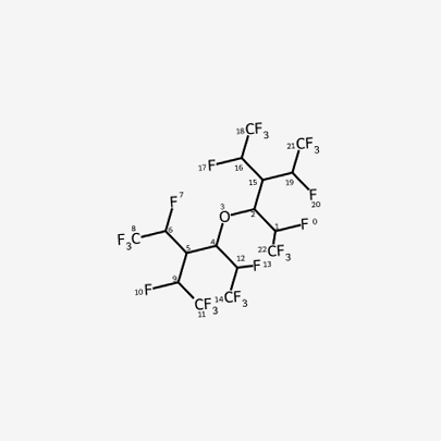 FC(C(OC(C(C(F)C(F)(F)F)C(F)C(F)(F)F)C(F)C(F)(F)F)C(C(F)C(F)(F)F)C(F)C(F)(F)F)C(F)(F)F